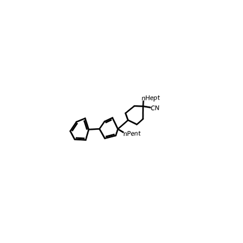 CCCCCCCC1(C#N)CCC(C2(CCCCC)C=CC(c3ccccc3)C=C2)CC1